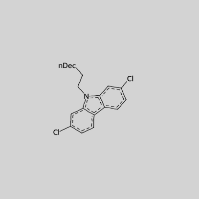 CCCCCCCCCCCCn1c2cc(Cl)ccc2c2ccc(Cl)cc21